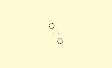 NCc1ccc(N2CCN(c3ccc(CN)cc3)CC2)cc1